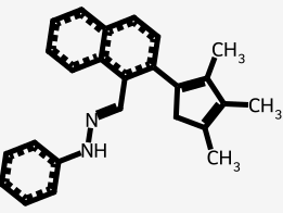 CC1=C(C)C(C)=C(c2ccc3ccccc3c2C=NNc2ccccc2)C1